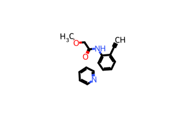 C#Cc1ccccc1NC(=O)COC.c1ccncc1